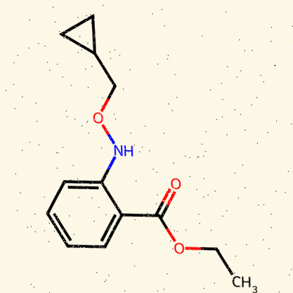 CCOC(=O)c1ccccc1NOCC1CC1